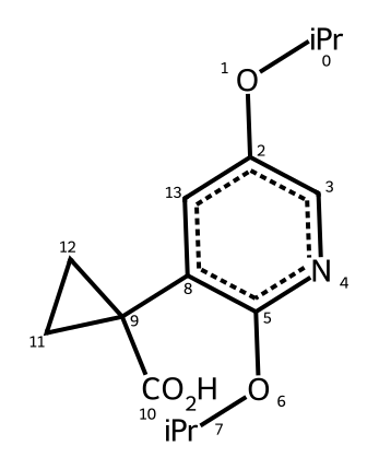 CC(C)Oc1cnc(OC(C)C)c(C2(C(=O)O)CC2)c1